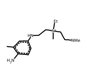 CC[N+](C)(CCNC)CCNc1ccc(N)c(C)c1